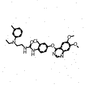 CCN(CCNC(=O)Nc1ccc(Oc2ncnc3cc(OC)c(OC)cc23)cc1Cl)c1cccc(C)c1